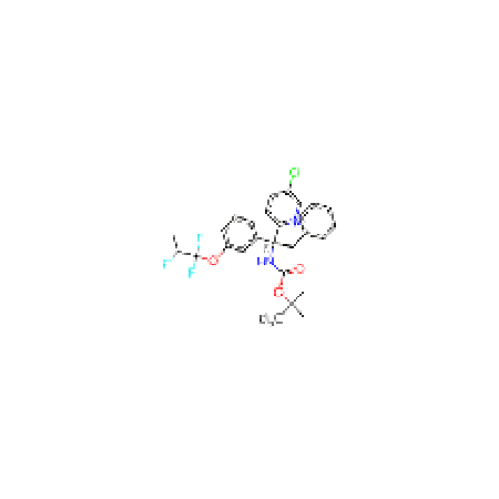 CC(F)C(F)(F)Oc1cccc([C@@](Cc2ccccc2)(NC(=O)OC(C)(C)C(Cl)(Cl)Cl)c2ccc(Cl)cn2)c1